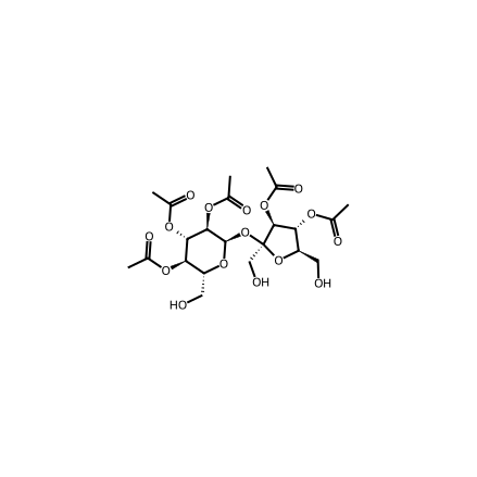 CC(=O)O[C@@H]1[C@@H](OC(C)=O)[C@@H](O[C@]2(CO)O[C@H](CO)[C@@H](OC(C)=O)[C@@H]2OC(C)=O)O[C@H](CO)[C@H]1OC(C)=O